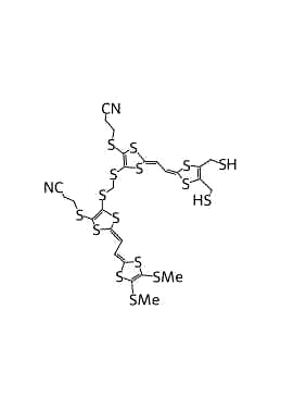 CSC1=C(SC)SC(=CC=C2SC(SCCC#N)=C(SCSC3=C(SCCC#N)SC(=CC=C4SC(CS)=C(CS)S4)S3)S2)S1